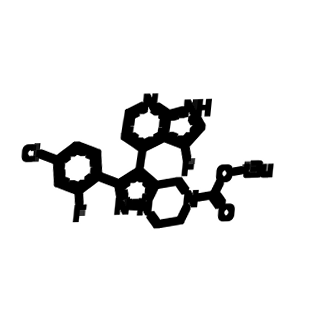 CC(C)(C)OC(=O)N1CCn2nc(-c3ccc(Cl)cc3F)c(-c3ccnc4[nH]cc(F)c34)c2C1